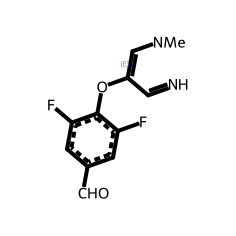 CN/C=C(\C=N)Oc1c(F)cc(C=O)cc1F